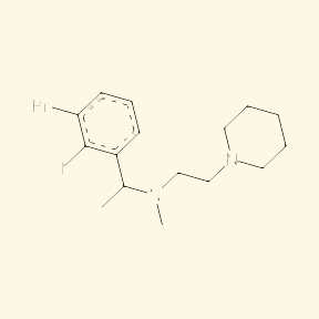 CC(c1cccc(Br)c1I)N(C)CCN1CCCCC1